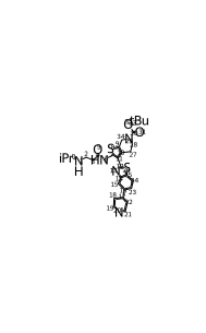 CC(C)NCCC(=O)Nc1sc2c(c1-c1nc3cc(-c4ccncc4)ccc3s1)CCN(C(=O)OC(C)(C)C)C2